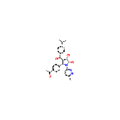 CC(=O)c1ccc(C2C(C(=O)c3ccc(C(C)C)cc3)=C(O)C(=O)N2c2ccc(C)nn2)cc1